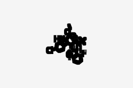 CCOC(=O)c1[nH]c2cc(Cl)ccc2c1C(C(=O)NC(C)(C)C)N(C=O)Cc1c(F)cccc1F